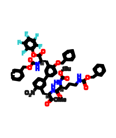 COC(=O)[C@H](Cc1cc(-c2ccc(OCc3ccccc3)c(C[C@H](NC(=O)OCc3ccccc3)C(=O)Oc3c(F)c(F)c(F)c(F)c3F)c2)ccc1[N+](=O)[O-])NC(=O)[C@H](CCCNC(=O)OCc1ccccc1)NC(=O)OC(C)(C)C